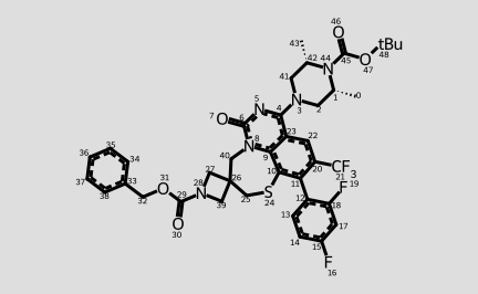 C[C@@H]1CN(c2nc(=O)n3c4c(c(-c5ccc(F)cc5F)c(C(F)(F)F)cc24)SCC2(CN(C(=O)OCc4ccccc4)C2)C3)C[C@H](C)N1C(=O)OC(C)(C)C